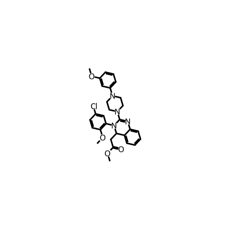 COC(=O)CC1c2ccccc2N=C(N2CCN(c3cccc(OC)c3)CC2)N1c1cc(Cl)ccc1OC